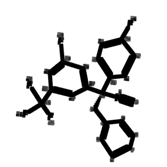 C#[N+][C@](Cc1ccccc1)(c1ccc(F)cc1)c1cc(F)cc(C(F)(F)F)c1